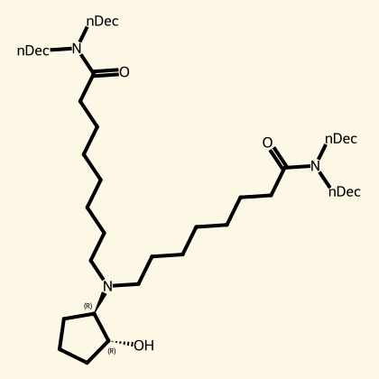 CCCCCCCCCCN(CCCCCCCCCC)C(=O)CCCCCCCN(CCCCCCCC(=O)N(CCCCCCCCCC)CCCCCCCCCC)[C@@H]1CCC[C@H]1O